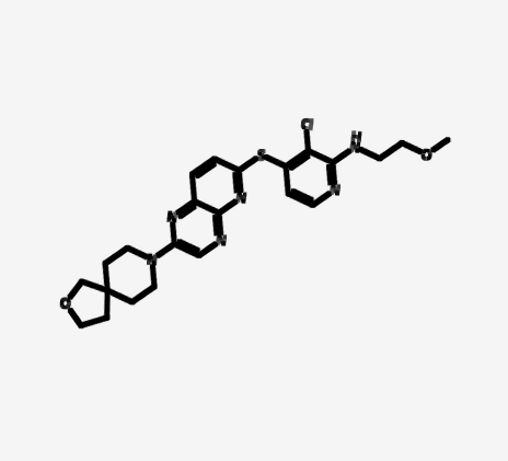 COCCNc1nccc(Sc2ccc3nc(N4CCC5(CCOC5)CC4)cnc3n2)c1Cl